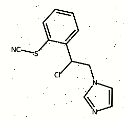 N#CSc1ccccc1C(Cl)Cn1ccnc1